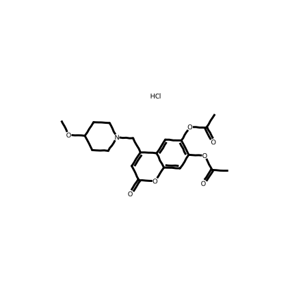 COC1CCN(Cc2cc(=O)oc3cc(OC(C)=O)c(OC(C)=O)cc23)CC1.Cl